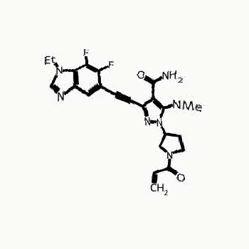 C=CC(=O)N1CCC(n2nc(C#Cc3cc4ncn(CC)c4c(F)c3F)c(C(N)=O)c2NC)C1